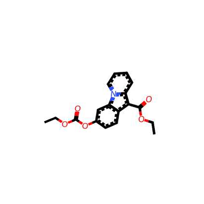 CCOC(=O)Oc1ccc2c(C(=O)OCC)c3ccccn3c2c1